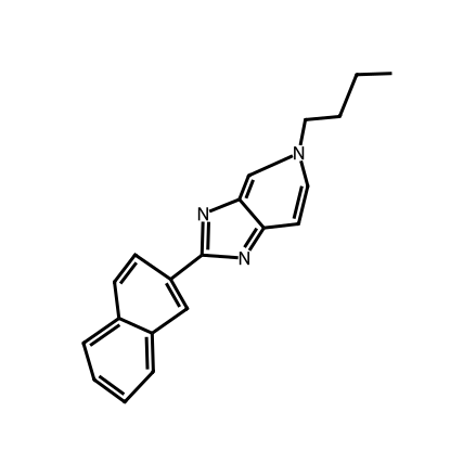 CCCCn1ccc2nc(-c3ccc4ccccc4c3)nc-2c1